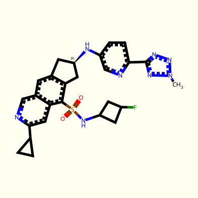 Cn1nnc(-c2ccc(N[C@@H]3Cc4cc5cnc(C6CC6)cc5c(S(=O)(=O)NC5CC(F)C5)c4C3)cn2)n1